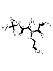 C=CCON(C(=O)C=C)[C@H](C)C(=O)OC(C)(C)C